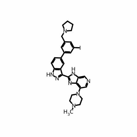 CN1CCN(c2cncc3[nH]c(-c4n[nH]c5ccc(-c6cc(I)cc(CN7CCCC7)c6)cc45)nc23)CC1